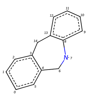 c1ccc2c(c1)C[N]c1ccccc1C2